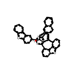 CC1C=CC=C(c2cccc3oc4cccc(-c5nc(-c6ccc7ccccc7c6)nc(-c6ccc7oc8ccccc8c7c6)n5)c4c23)C1